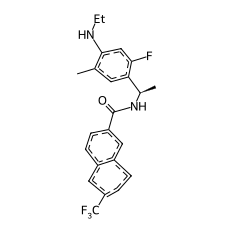 CCNc1cc(F)c([C@@H](C)NC(=O)c2ccc3cc(C(F)(F)F)ccc3c2)cc1C